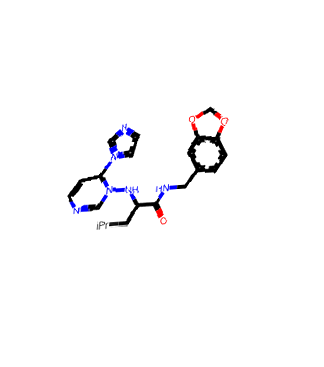 CC(C)CC(NN1C=NC=CC1n1ccnc1)C(=O)NCc1ccc2c(c1)OCO2